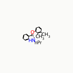 CCCNC[C@@H](Oc1cccc(C)c1C)c1ccccc1